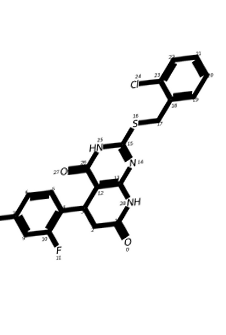 O=C1CC(c2ccc(F)cc2F)c2c(nc(SCc3ccccc3Cl)[nH]c2=O)N1